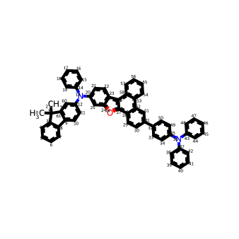 CC1(C)c2ccccc2-c2ccc(N(c3ccccc3)c3ccc4c(c3)oc3c5ccc(-c6ccc(N(c7ccccc7)c7ccccc7)cc6)cc5c5ccccc5c43)cc21